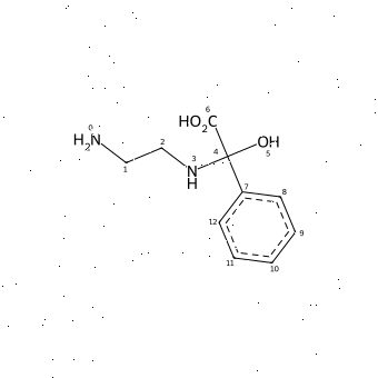 NCCNC(O)(C(=O)O)c1ccccc1